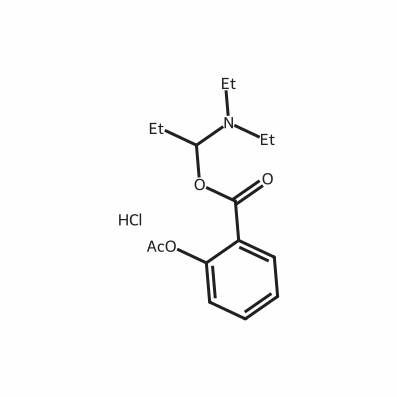 CCC(OC(=O)c1ccccc1OC(C)=O)N(CC)CC.Cl